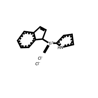 [CH2]=[Ti+2]([c]1ccc[nH]1)[CH]1C=Cc2ccccc21.[Cl-].[Cl-]